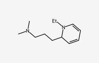 CCN1C=CC=CC1CCCN(C)C